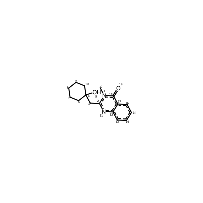 Cn1c(CC2(O)CCCCC2)nc2ccccc2c1=O